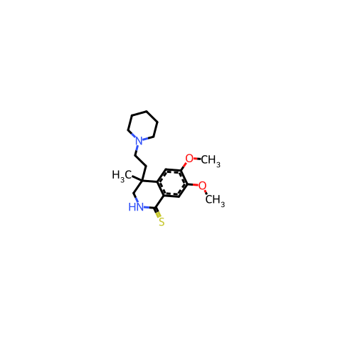 COc1cc2c(cc1OC)C(C)(CCN1CCCCC1)CNC2=S